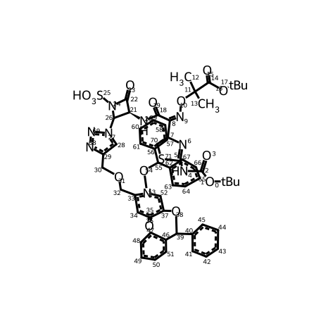 CC(C)(C)OC(=O)NC1=NC(/C(=N/OC(C)(C)C(=O)OC(C)(C)C)C(=O)N[C@@H]2C(=O)N(S(=O)(=O)O)C2n2cc(COCc3cc(=O)c(OC(c4ccccc4)c4ccccc4)cn3OC(c3ccccc3)c3ccccc3)nn2)CS1